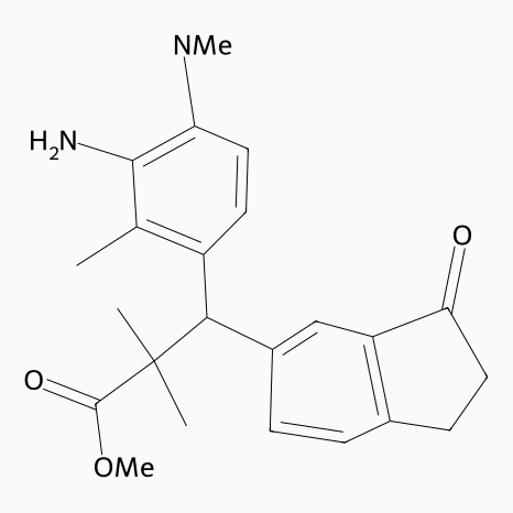 CNc1ccc(C(c2ccc3c(c2)C(=O)CC3)C(C)(C)C(=O)OC)c(C)c1N